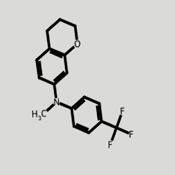 CN(c1ccc(C(F)(F)F)cc1)c1ccc2c(c1)OCCC2